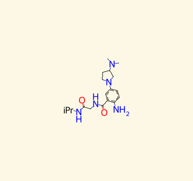 CC(C)NC(=O)CNC(=O)c1cc(N2CCC(N(C)C)C2)ccc1N